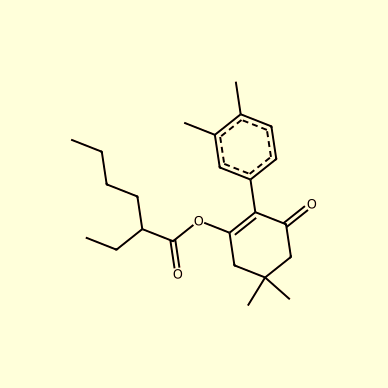 CCCCC(CC)C(=O)OC1=C(c2ccc(C)c(C)c2)C(=O)CC(C)(C)C1